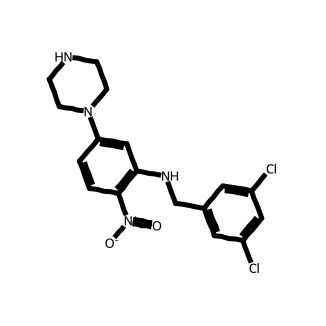 O=[N+]([O-])c1ccc(N2CCNCC2)cc1NCc1cc(Cl)cc(Cl)c1